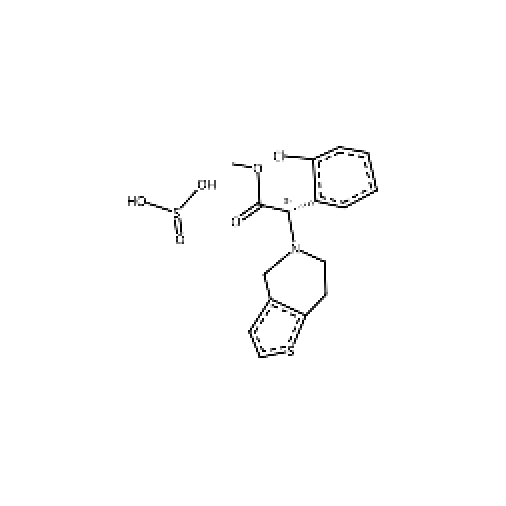 COC(=O)[C@H](c1ccccc1Cl)N1CCc2sccc2C1.O=S(O)O